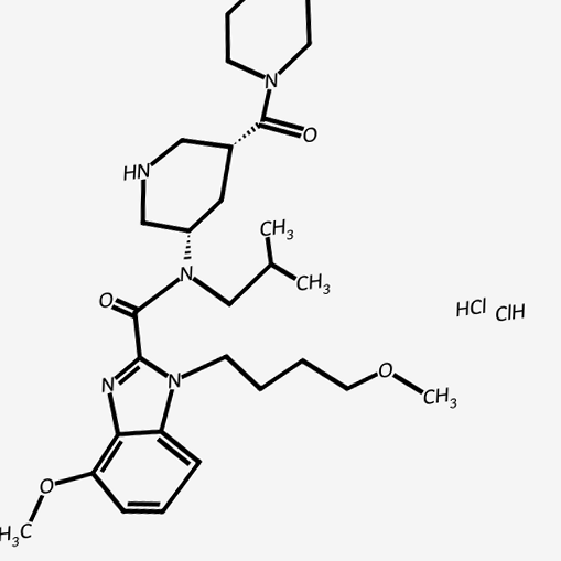 COCCCCn1c(C(=O)N(CC(C)C)[C@@H]2CNC[C@H](C(=O)N3CCCCC3)C2)nc2c(OC)cccc21.Cl.Cl